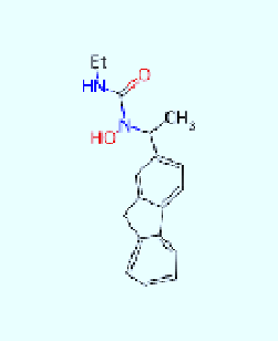 CCNC(=O)N(O)C(C)c1ccc2c(c1)Cc1ccccc1-2